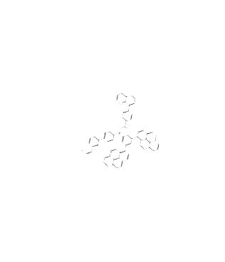 CC/C=C\c1cccc(-c2ccc(-c3nc(-c4ccc(-c5cccc6cccnc56)c(C)c4)nc4c(-c5ccc6c7c8c(ccc57)=CC=CC8CC=6)cc(-c5ccc6ccc7cccc8ccc5c6c78)cc34)cc2C)c1N